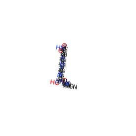 CC(C)(O)c1cc2nn(C3CCC(N4CCN(C5CCN(c6ccc(C7CCC(=O)NC7=O)cc6)CC5)CC4)CC3)cc2cc1NC(=O)c1ccc2cc(C#N)cnn12